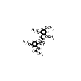 COc1ccc(NS(=O)(=O)C=Cc2c(OC)cc(OC)cc2OC)c(NC(C)=O)c1